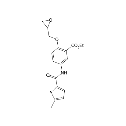 CCOC(=O)c1cc(NC(=O)c2ccc(C)s2)ccc1OCC1CO1